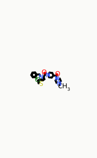 CN1CCN(C(=O)C2CCN(C(=O)c3cc4sccc4n3Cc3ccccc3Cl)CC2)CC1